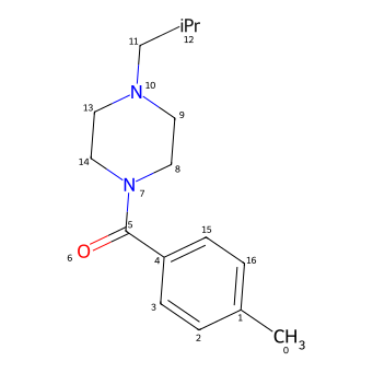 Cc1ccc(C(=O)N2CCN(CC(C)C)CC2)cc1